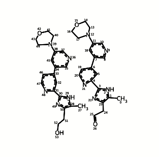 Cc1[nH]c(-c2cc(-c3cncc(N4CCOCC4)c3)ccn2)nc1CC=O.Cc1[nH]c(-c2cc(-c3cncc(N4CCOCC4)c3)ccn2)nc1CCO